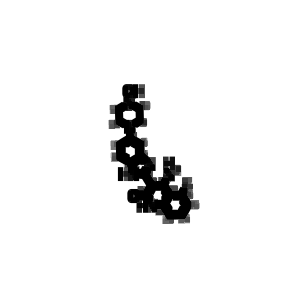 Nc1c(-c2nc3cc(N4CCN(O)CC4)ccc3[nH]2)c(=O)[nH]c2cccc(F)c12